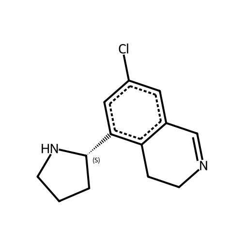 Clc1cc2c(c([C@@H]3CCCN3)c1)CCN=C2